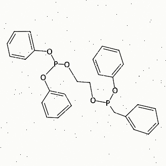 c1ccc(CP(OCCOP(Oc2ccccc2)Oc2ccccc2)Oc2ccccc2)cc1